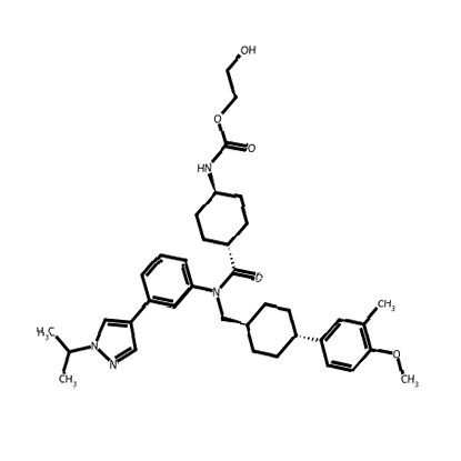 COc1ccc([C@H]2CC[C@H](CN(c3cccc(-c4cnn(C(C)C)c4)c3)C(=O)[C@H]3CC[C@H](NC(=O)OCCO)CC3)CC2)cc1C